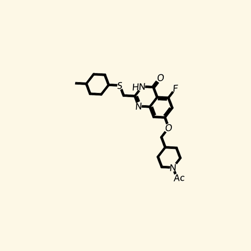 CC(=O)N1CCC(COc2cc(F)c3c(=O)[nH]c(CSC4CCC(C)CC4)nc3c2)CC1